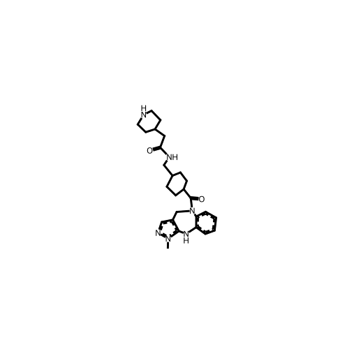 Cn1ncc2c1Nc1ccccc1N(C(=O)C1CCC(CNC(=O)CC3CCNCC3)CC1)C2